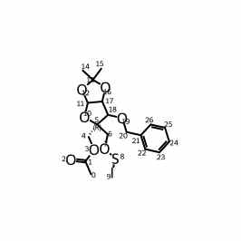 CC(=O)OC[C@]1(COSI)OC2OC(C)(C)OC2C1OCc1ccccc1